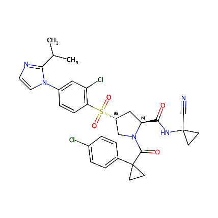 CC(C)c1nccn1-c1ccc(S(=O)(=O)[C@@H]2C[C@@H](C(=O)NC3(C#N)CC3)N(C(=O)C3(c4ccc(Cl)cc4)CC3)C2)c(Cl)c1